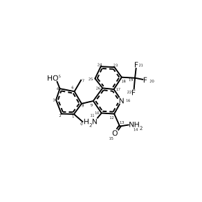 Cc1ccc(O)c(C)c1-c1c(N)c(C(N)=O)nc2c(C(F)(F)F)cccc12